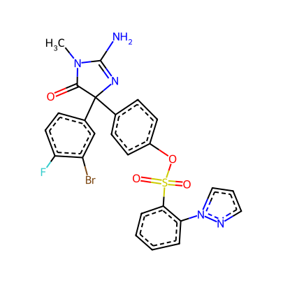 CN1C(=O)C(c2ccc(OS(=O)(=O)c3ccccc3-n3cccn3)cc2)(c2ccc(F)c(Br)c2)N=C1N